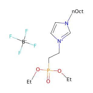 CCCCCCCCn1cc[n+](CCP(=O)(OCC)OCC)c1.F[B-](F)(F)F